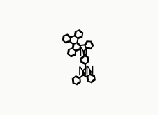 c1ccc(-c2nc(-c3ccc(-n4c5ccccc5c5c6c7ccccc7c7ccccc7c6c6ccccc6c54)cc3)nc3ccccc23)cc1